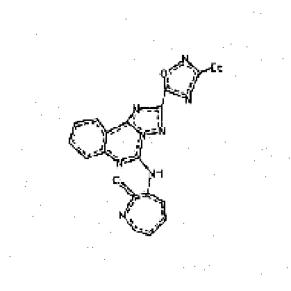 CCc1noc(-c2nc3c4ccccc4nc(Nc4ccccnc4=O)n3n2)n1